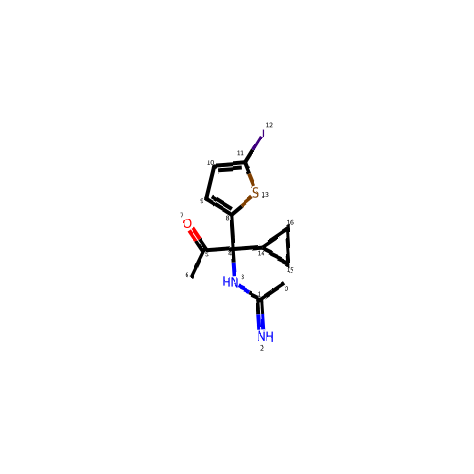 CC(=N)NC(C(C)=O)(c1ccc(I)s1)C1CC1